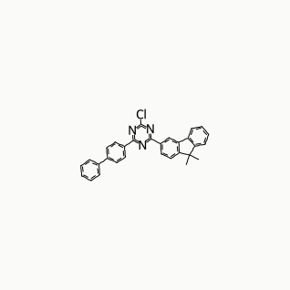 CC1(C)c2ccccc2-c2cc(-c3nc(Cl)nc(-c4ccc(-c5ccccc5)cc4)n3)ccc21